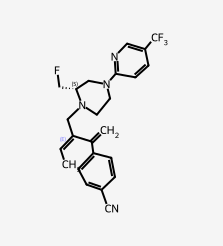 C=C(/C(=C\C)CN1CCN(c2ccc(C(F)(F)F)cn2)C[C@H]1CF)c1ccc(C#N)cc1